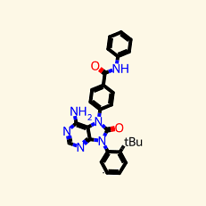 CC(C)(C)c1cc[c]cc1-n1c(=O)n(-c2ccc(C(=O)Nc3ccccc3)cc2)c2c(N)ncnc21